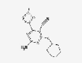 Cc1ccc(-c2nc(N)nc(OC3CCCCC3)c2C#N)o1